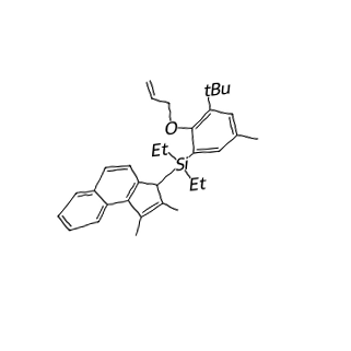 C=CCOc1c(C(C)(C)C)cc(C)cc1[Si](CC)(CC)C1C(C)=C(C)c2c1ccc1ccccc21